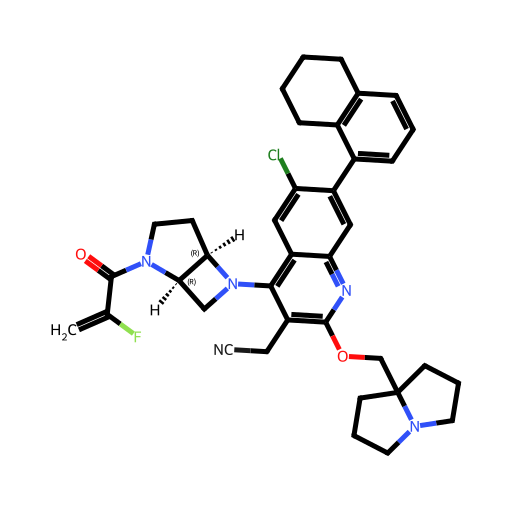 C=C(F)C(=O)N1CC[C@@H]2[C@H]1CN2c1c(CC#N)c(OCC23CCCN2CCC3)nc2cc(-c3cccc4c3CCCC4)c(Cl)cc12